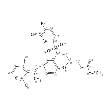 COC(=O)CC[C@H]1CN(S(=O)(=O)c2ccc(F)c(Cl)c2)c2cc(/C=C(\C)c3c(F)cccc3Cl)ccc2O1